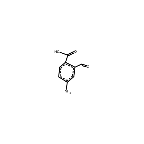 Nc1ccc(C(=O)O)c(C=O)c1